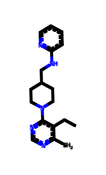 Bc1ncnc(N2CCC(CNc3ccccn3)CC2)c1CC